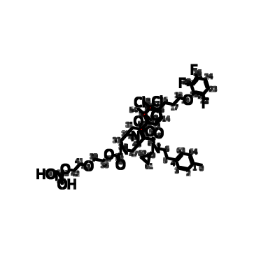 Cc1ccc(CCN(C(=O)C2=C(c3ccc(CCCOc4c(F)ccc(F)c4F)cc3)CC3CN(C(=O)OCCOCCON(O)O)CC2N3C(=O)OC(C)(C)C(Cl)(Cl)Cl)C2CC2)cc1